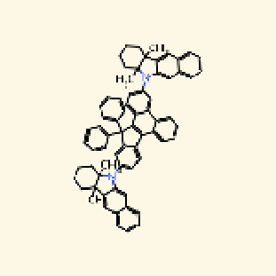 CC12CCCCC1(C)N(c1ccc3c(c1)C(c1ccccc1)(c1ccccc1)c1c-3c3ccccc3c3cc(N4c5cc6ccccc6cc5C5(C)CCCCC45C)ccc13)c1cc3ccccc3cc12